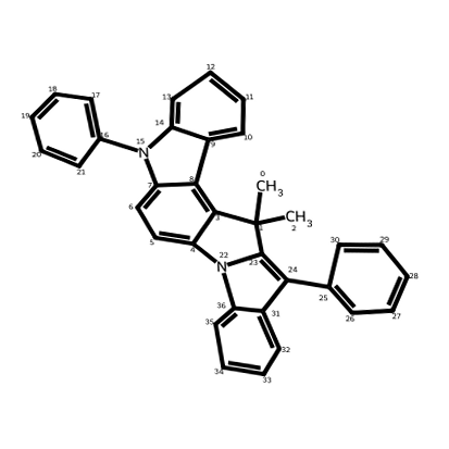 CC1(C)c2c(ccc3c2c2ccccc2n3-c2ccccc2)-n2c1c(-c1ccccc1)c1ccccc12